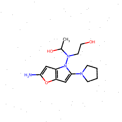 CC(O)N(CCO)n1c(N2CCCC2)cc2oc(N)cc21